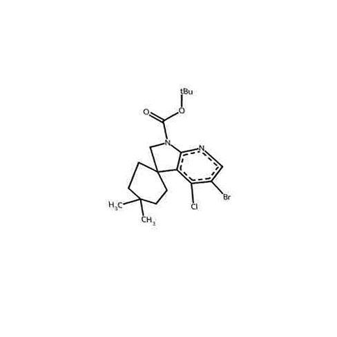 CC1(C)CCC2(CC1)CN(C(=O)OC(C)(C)C)c1ncc(Br)c(Cl)c12